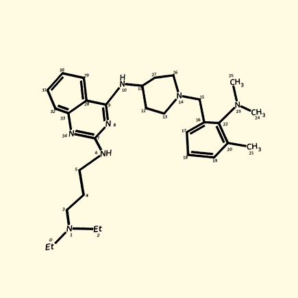 CCN(CC)CCCNc1nc(NC2CCN(Cc3cccc(C)c3N(C)C)CC2)c2ccccc2n1